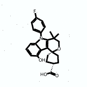 CC1(C)CO[C@]2(CC[C@@H](C(=O)O)CC2)c2c1n(-c1ccc(F)cc1)c1cccc(O)c12